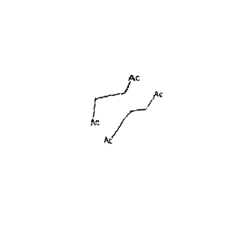 CC(=O)CCC(C)=O.CC(=O)CCC(C)=O